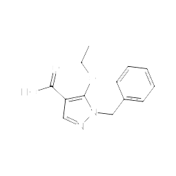 CCOc1c(C(=O)O)cnn1Cc1ccccc1